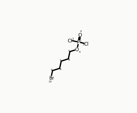 O=P(Cl)(Cl)OCCCCCBr